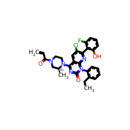 C=CC(=O)N1CCN(c2nc(=O)n(-c3ccccc3CC)c3nc(-c4c(O)cccc4F)c(Cl)cc23)[C@@H](C)C1